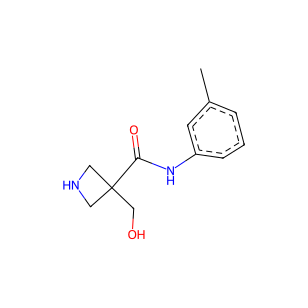 Cc1cccc(NC(=O)C2(CO)CNC2)c1